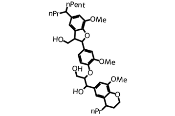 CCCCCC(CCC)c1cc(OC)c2c(c1)C(CO)C(c1ccc(OC(CO)C(O)c3cc(OC)c4c(c3)C(CCC)CCO4)c(OC)c1)O2